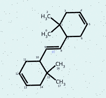 CC1(C)CC=CCC1/C=C/C1CC=CCC1(C)C